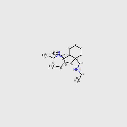 CCNCC1CCCCC1(CNCC)[CH2][Al]([CH2]C)[CH2]C